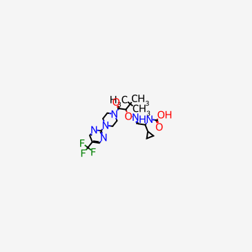 CC(C)(C)C(ON=CC(NC(=O)O)C1CC1)C(=O)N1CCN(c2ncc(C(F)(F)F)cn2)CC1